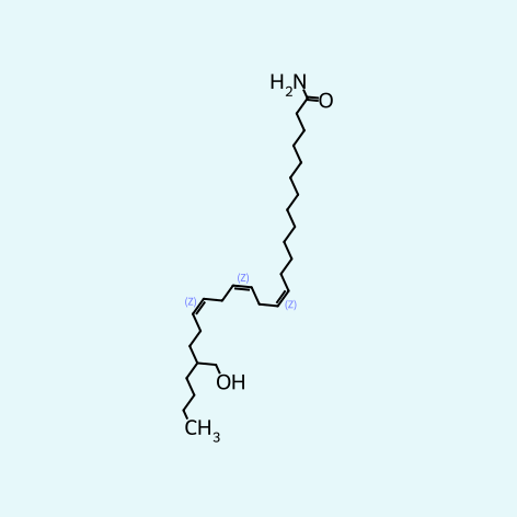 CCCCC(CO)CC/C=C\C/C=C\C/C=C\CCCCCCCCCCCC(N)=O